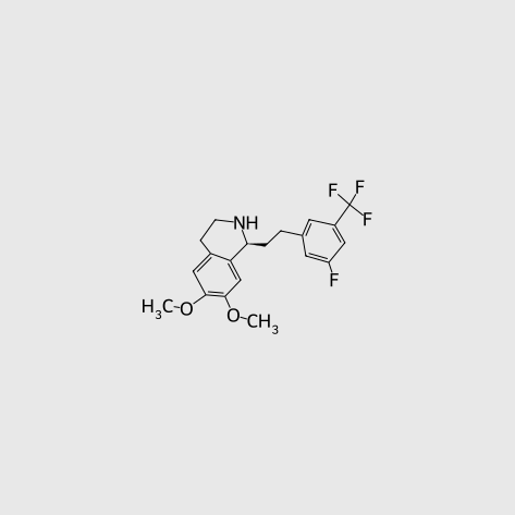 COc1cc2c(cc1OC)[C@H](CCc1cc(F)cc(C(F)(F)F)c1)NCC2